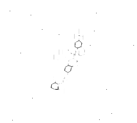 Cl.NC(C(C=O)Cc1ccc(OCCc2c(Cl)cccc2Cl)cc1)N1CCCc2cc(C(F)(F)F)ccc21